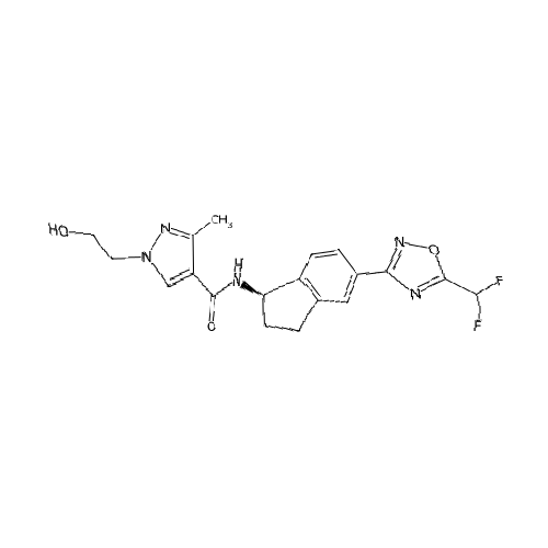 Cc1nn(CCO)cc1C(=O)N[C@@H]1CCc2cc(-c3noc(C(F)F)n3)ccc21